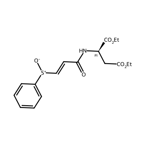 CCOC(=O)C[C@@H](NC(=O)C=C[S+]([O-])c1ccccc1)C(=O)OCC